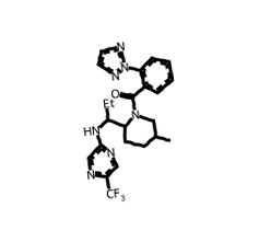 CCC(Nc1cnc(C(F)(F)F)cn1)C1CCC(C)CN1C(=O)c1ccccc1-n1nccn1